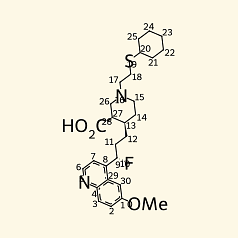 COc1ccc2nccc([C@@H](F)CC[C@@H]3CCN(CCSC4CCCCC4)C[C@@H]3C(=O)O)c2c1